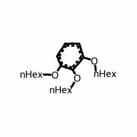 CCCCCCOc1cccc(OCCCCCC)c1OCCCCCC